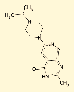 Cc1nc2nnc(N3CCN(C(C)C)CC3)cc2c(=O)[nH]1